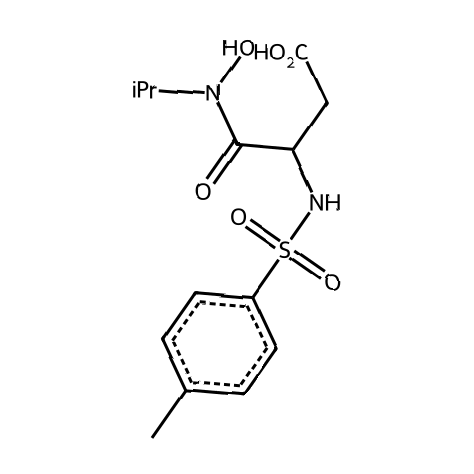 Cc1ccc(S(=O)(=O)NC(CC(=O)O)C(=O)N(O)C(C)C)cc1